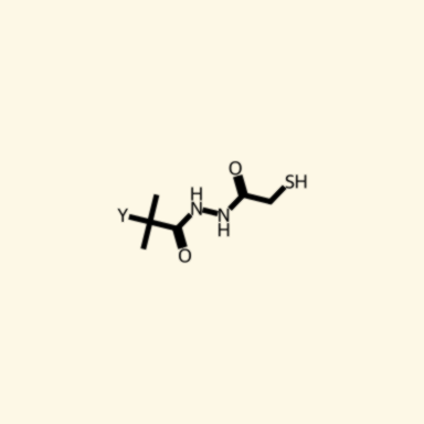 C[C](C)([Y])C(=O)NNC(=O)CS